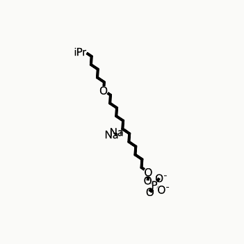 CC(C)CCCCCOCCCCCCCCCCCCOOP(=O)([O-])[O-].[Na+].[Na+]